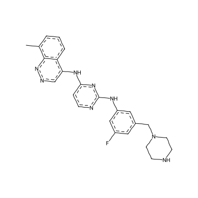 Cc1cccc2c(Nc3ccnc(Nc4cc(F)cc(CN5CCNCC5)c4)n3)cnnc12